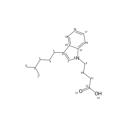 CC(C)CCCc1cn(CCCC(=O)O)c2ccccc12